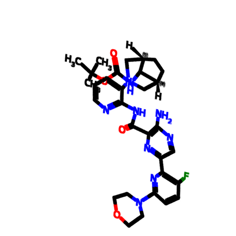 CC(C)(C)OC(=O)NC1[C@@H]2CC[C@H]1CN(c1cccnc1NC(=O)c1nc(-c3nc(N4CCOCC4)ccc3F)cnc1N)C2